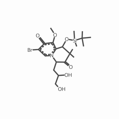 COc1c2n(cc(Br)c1=O)C(CC(O)CO)C(=O)C(C)(C)C2O[Si](C)(C)C(C)(C)C